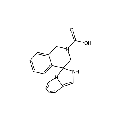 O=C(O)N1Cc2ccccc2C2(C1)NC=C1C=CC=CN12